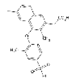 CCS(=O)(=O)c1cnc(Oc2c(C)c(CC(=O)O)cc3ccc(F)cc23)c(C)c1